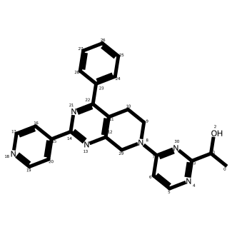 CC(O)c1nccc(N2CCc3c(nc(-c4ccncc4)nc3-c3ccccc3)C2)n1